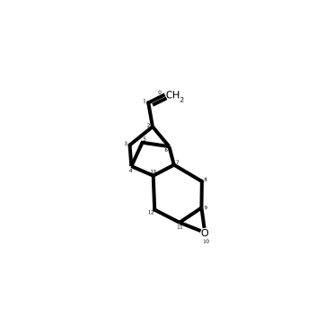 C=CC1CC2CC1C1CC3OC3CC21